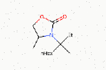 CCCCCCC(C)(CC)N1C(=O)OCC1C